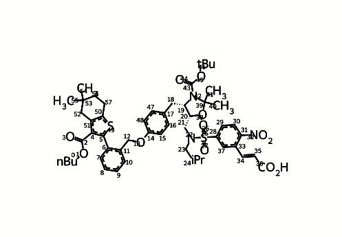 CCCCOC(=O)c1c(-c2ccccc2COc2ccc(C[C@H]3[C@@H](CN(CC(C)C)S(=O)(=O)c4ccc([N+](=O)[O-])c(/C=C/C(=O)O)c4)OC(C)(C)N3C(=O)OC(C)(C)C)cc2)sc2c1CC(C)(C)CC2